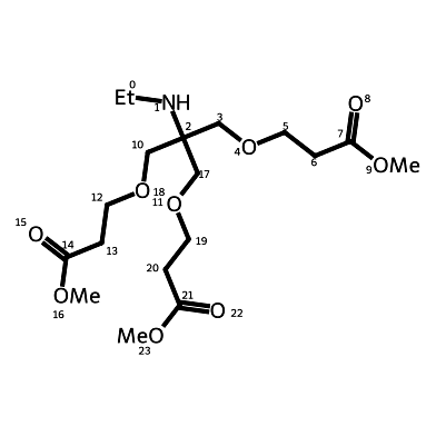 CCNC(COCCC(=O)OC)(COCCC(=O)OC)COCCC(=O)OC